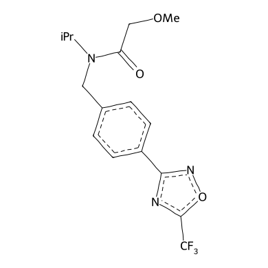 COCC(=O)N(Cc1ccc(-c2noc(C(F)(F)F)n2)cc1)C(C)C